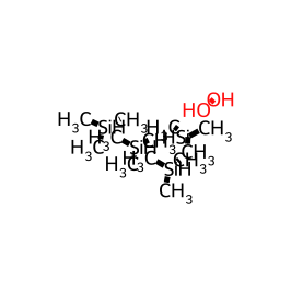 C[SiH](C)C.C[SiH](C)C.C[SiH](C)C.C[SiH](C)C.OO